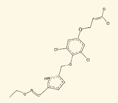 CCON=Cc1ccc(COc2c(Cl)cc(OCC=C(Cl)Cl)cc2Cl)[nH]1